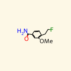 COc1cc(C(N)=O)ccc1CCF